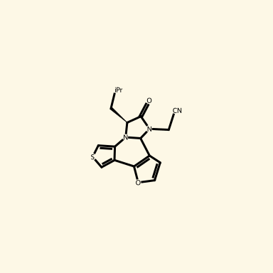 CC(C)C[C@H]1C(=O)N(CC#N)C2c3ccoc3-c3cscc3N21